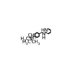 CC1(C)B(c2ccc(CNC3C=CC=CN3)cc2)C1(C)C